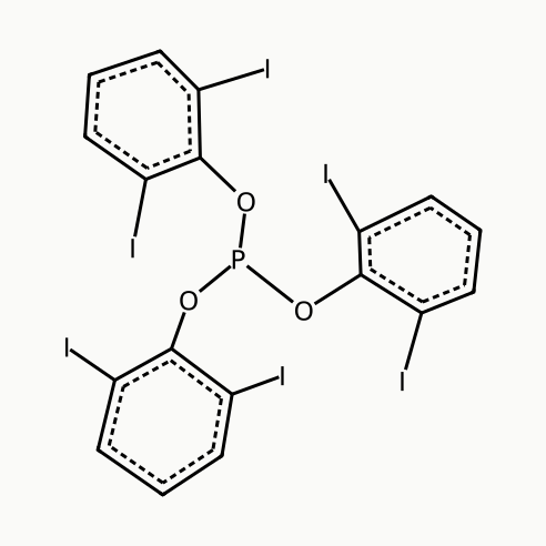 Ic1cccc(I)c1OP(Oc1c(I)cccc1I)Oc1c(I)cccc1I